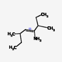 CCC(C)/C=C(\N)C(C)CC